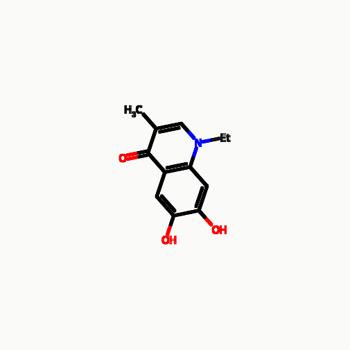 CCn1cc(C)c(=O)c2cc(O)c(O)cc21